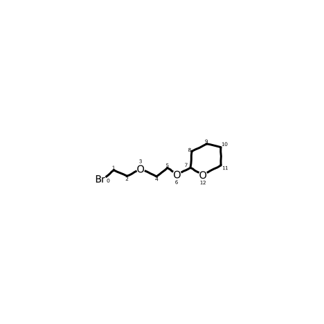 BrCCOCCOC1CCCCO1